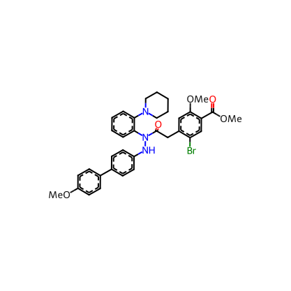 COC(=O)c1cc(Br)c(CC(=O)N(Nc2ccc(-c3ccc(OC)cc3)cc2)c2ccccc2N2CCCCC2)cc1OC